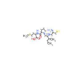 CCC(C)C(CN1CCCC1C(=O)NC(CCSC)C(=O)O)NC[C@H](N)CS